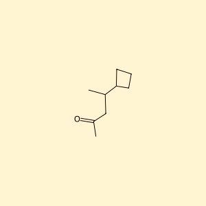 CC(=O)CC(C)C1CCC1